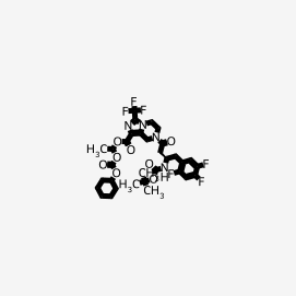 CC(OC(=O)OC1CCCCC1)OC(=O)c1nc(C(F)(F)F)n2c1CN(C(=O)C[C@@H](Cc1cc(F)c(F)cc1F)NC(=O)OC(C)(C)C)CC2